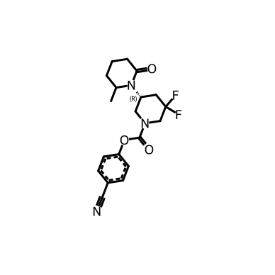 CC1CCCC(=O)N1[C@H]1CN(C(=O)Oc2ccc(C#N)cc2)CC(F)(F)C1